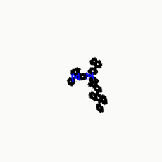 CC1(C)c2cc(-c3c4ccccc4c(-c4ccccc4)c4ccccc34)ccc2-c2ccc(N(c3ccc(-c4cccc5ccccc45)cc3)c3ccc4c(c3)c3ccccc3n4-c3ccccc3)cc21